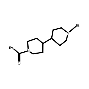 CCN1CCC(C2CCN(C(=O)C(C)C)CC2)CC1